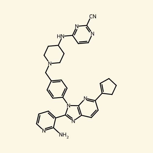 N#Cc1nccc(NC2CCN(Cc3ccc(-n4c(-c5cccnc5N)nc5ccc(C6=CCCC6)nc54)cc3)CC2)n1